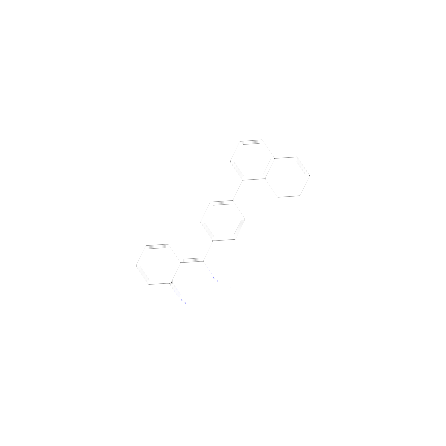 N=C1C=CC=C/C1=C(/N)c1ccc(-c2cccc3c2CCC=C3)cc1